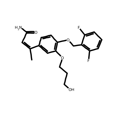 C/C(=C/C(N)=O)c1ccc(OCc2c(F)cccc2F)c(OCCCO)c1